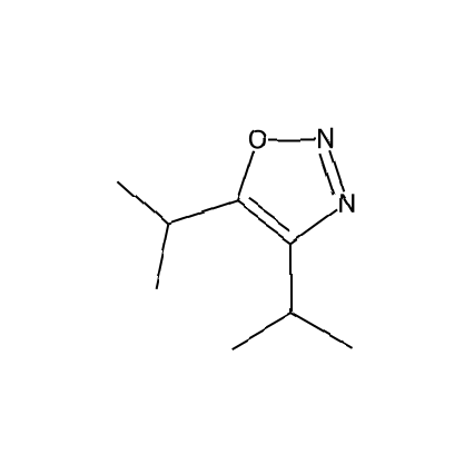 CC(C)c1nnoc1C(C)C